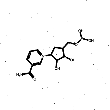 NC(=O)c1ccc[n+](C2CC(COP(O)O)C(O)C2O)c1